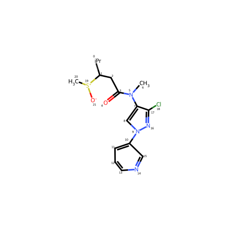 CC(C)C(CC(=O)N(C)c1cn(-c2cccnc2)nc1Cl)[S+](C)[O-]